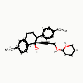 COc1ccc(C2CCc3cc(OC)ccc3C2(O)C#CCOC2CCCCO2)cc1